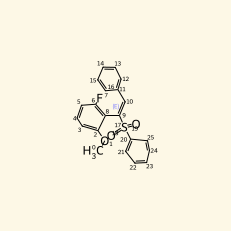 COc1cccc(F)c1/C(=C\c1ccccc1)S(=O)(=O)c1ccccc1